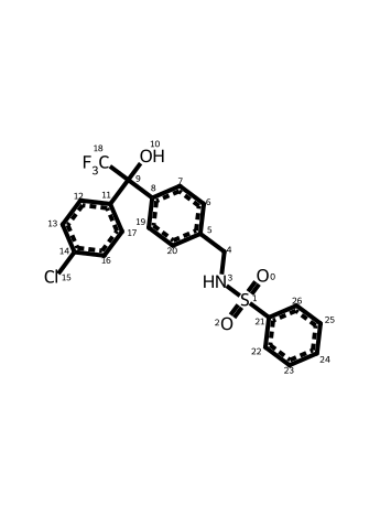 O=S(=O)(NCc1ccc(C(O)(c2ccc(Cl)cc2)C(F)(F)F)cc1)c1ccccc1